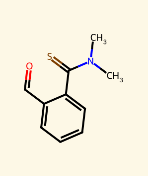 CN(C)C(=S)c1ccccc1C=O